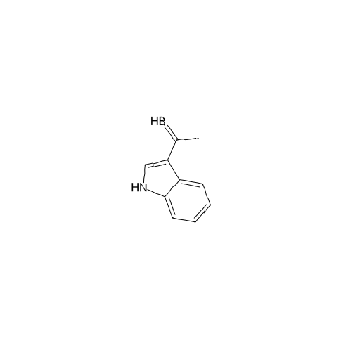 B=C(C)c1c[nH]c2ccccc12